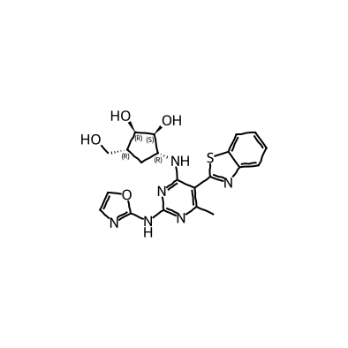 Cc1nc(Nc2ncco2)nc(N[C@@H]2C[C@H](CO)[C@@H](O)[C@H]2O)c1-c1nc2ccccc2s1